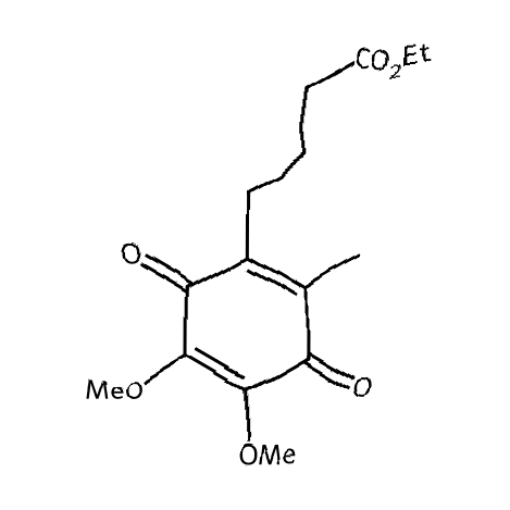 CCOC(=O)CCCC1=C(C)C(=O)C(OC)=C(OC)C1=O